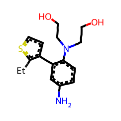 CCc1sccc1-c1cc(N)ccc1N(CCO)CCO